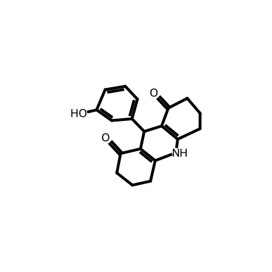 O=C1CCCC2=C1C(c1cccc(O)c1)C1=C(CCCC1=O)N2